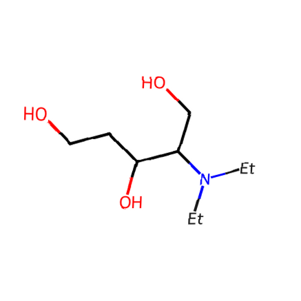 CCN(CC)C(CO)C(O)CCO